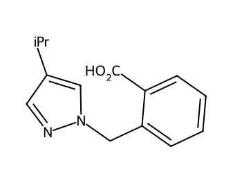 CC(C)c1cnn(Cc2ccccc2C(=O)O)c1